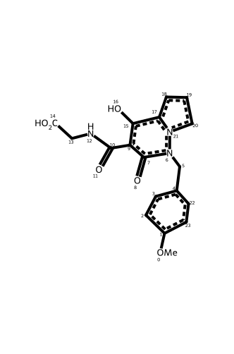 COc1ccc(Cn2c(=O)c(C(=O)NCC(=O)O)c(O)c3cccn32)cc1